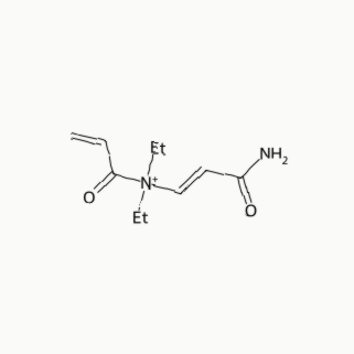 C=CC(=O)[N+](C=CC(N)=O)(CC)CC